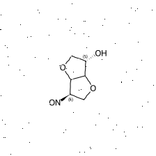 O=N[C@@H]1COC2C1OC[C@@H]2O